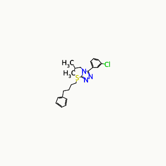 CC(C)Cn1c(SCCCCc2ccccc2)nnc1-c1cccc(Cl)c1